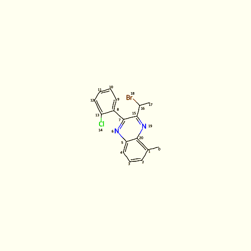 Cc1cccc2nc(-c3ccccc3Cl)c(C(C)Br)nc12